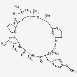 CC[C@H](C)[C@@H]1NC(=O)[C@H](C)NC(=O)[C@H](Cc2ccc(OC)cc2)NC(=O)CC[C@@H]2CCSC(=N2)C[C@@H](O)C[C@H](C)C[C@@H](C(C)(C)C)OC(=O)[C@@H]2CCCN2C1=O